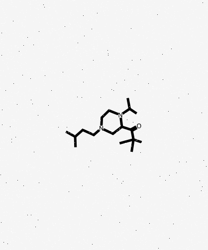 CC(C)CCN1CCN(C(C)C)C(C(=O)C(C)(C)C)C1